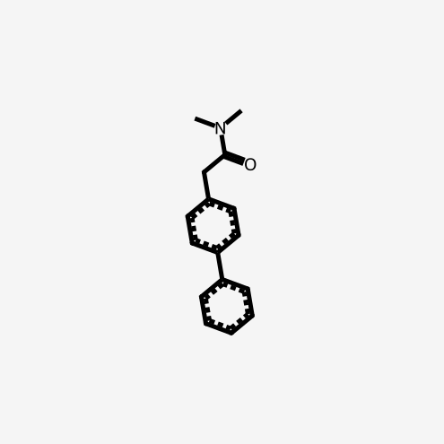 CN(C)C(=O)Cc1ccc(-c2ccccc2)cc1